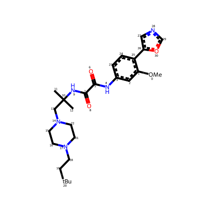 COc1cc(NC(=O)C(=O)NC(C)(C)CN2CCN(CCC(C)(C)C)CC2)ccc1-c1cnco1